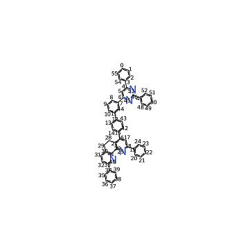 c1ccc(-c2cc(-c3cccc(-c4ccc(-c5cc(-c6ccccc6)nc6c5CCc5ccc(-c7ccccc7)nc5-6)cc4)c3)nc(-c3ccccc3)n2)cc1